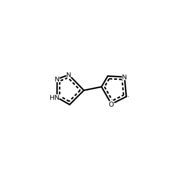 [c]1ncc(-c2c[nH]nn2)o1